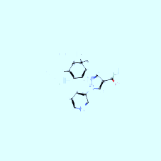 CC1(C(=O)O)C=CC=C(C(=O)O)C1.Cl.O=C(Cl)c1cnn(-c2cccnc2)c1